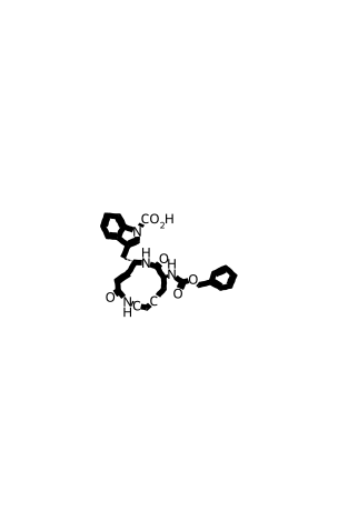 O=C1/C=C/[C@H](Cc2cn(C(=O)O)c3ccccc23)NC(=O)[C@@H](NC(=O)OCc2ccccc2)CCCCN1